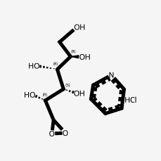 Cl.OC[C@@H](O)[C@@H](O)[C@H](O)[C@@H](O)C1OO1.c1ccncc1